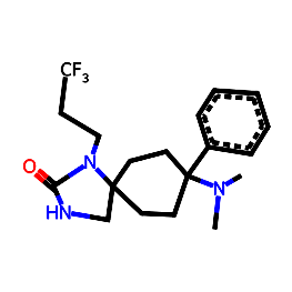 CN(C)C1(c2ccccc2)CCC2(CC1)CNC(=O)N2CCC(F)(F)F